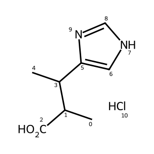 CC(C(=O)O)C(C)c1c[nH]cn1.Cl